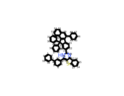 c1ccc(-c2cccc(C3=c4sc5ccccc5c4=NC(c4ccc5c(c4)C(c4ccccc4)(c4ccccc4)c4c-5c(-c5ccccc5)cc5ccccc45)N3)c2)cc1